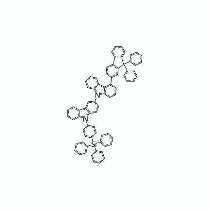 c1ccc(C2(c3ccccc3)c3ccccc3-c3ccc(-c4cccc5c4c4ccccc4n5-c4ccc5c(c4)c4ccccc4n5-c4ccc([Si](c5ccccc5)(c5ccccc5)c5ccccc5)cc4)cc32)cc1